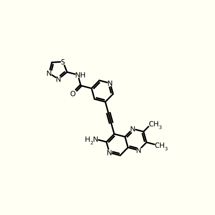 Cc1nc2cnc(N)c(C#Cc3cncc(C(=O)Nc4nncs4)c3)c2nc1C